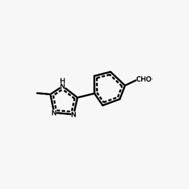 Cc1nnc(-c2ccc([C]=O)cc2)[nH]1